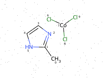 Cc1ncc[nH]1.[Cl][Co]([Cl])[Cl]